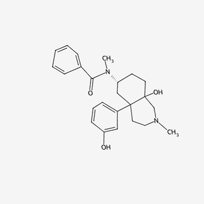 CN1CCC2(c3cccc(O)c3)C[C@H](N(C)C(=O)c3ccccc3)CCC2(O)C1